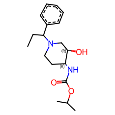 CCC(c1ccccc1)N1CC[C@@H](NC(=O)OC(C)C)[C@H](O)C1